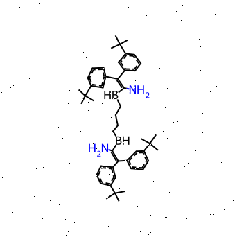 CC(C)(C)c1cccc(C(=C(N)BCCCCBC(N)=C(c2cccc(C(C)(C)C)c2)c2cccc(C(C)(C)C)c2)c2cccc(C(C)(C)C)c2)c1